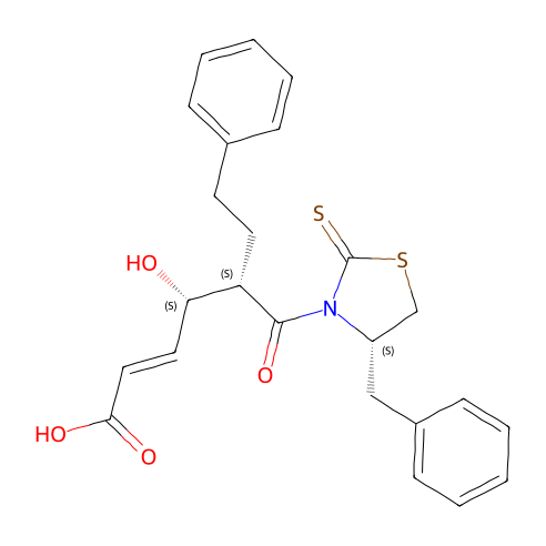 O=C(O)C=C[C@H](O)[C@H](CCc1ccccc1)C(=O)N1C(=S)SC[C@@H]1Cc1ccccc1